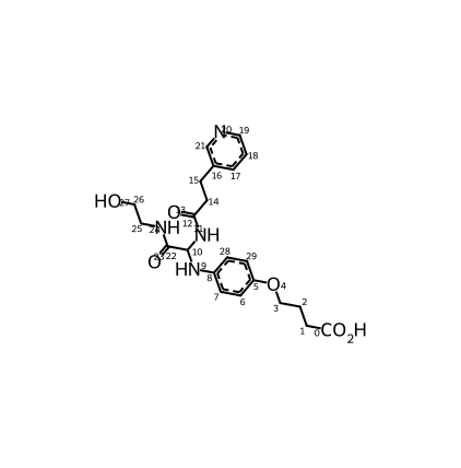 O=C(O)CCCOc1ccc(NC(NC(=O)CCc2cccnc2)C(=O)NCCO)cc1